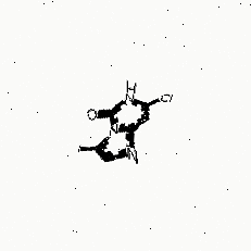 O=c1[nH]c(Cl)cc2ncc(I)n12